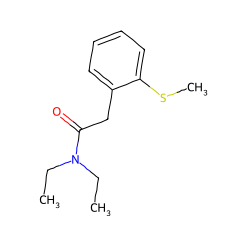 CCN(CC)C(=O)Cc1ccccc1SC